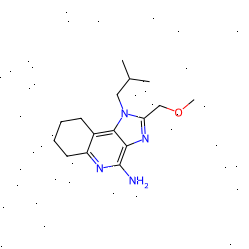 COCc1nc2c(N)nc3c(c2n1CC(C)C)CCCC3